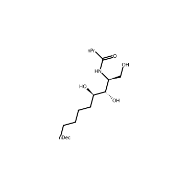 CCCCCCCCCCCCCC[C@@H](O)[C@@H](O)[C@H](CO)NC(=O)CCC